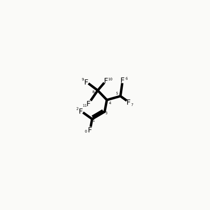 FC(F)=CC(C(F)F)C(F)(F)F